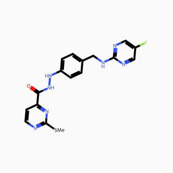 CSc1nccc(C(=O)NNc2ccc(CNc3ncc(F)cn3)cc2)n1